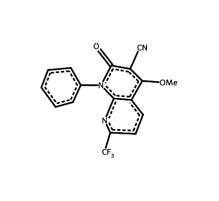 COc1c(C#N)c(=O)n(-c2ccccc2)c2nc(C(F)(F)F)ccc12